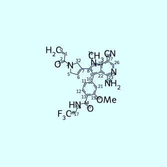 C=CC(=O)N1CC=C(c2c(-c3ccc(C(=O)NCC(F)(F)F)c(OC)c3)c3c(N)ncc(C#N)c3n2C)C1